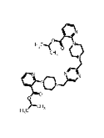 CC(C)OC(=O)c1cccnc1N1CCN(Cc2cnc(CN3CCN(c4ncccc4C(=O)OC(C)C)CC3)cn2)CC1